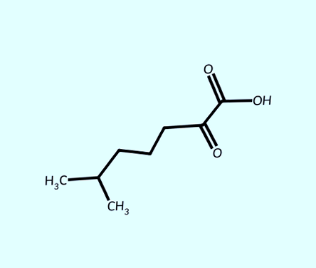 CC(C)CCCC(=O)C(=O)O